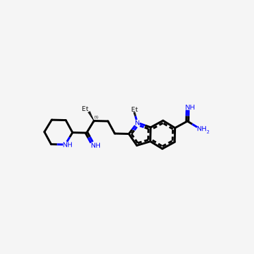 CC[C@@H](CCc1cc2ccc(C(=N)N)cc2n1CC)C(=N)C1CCCCN1